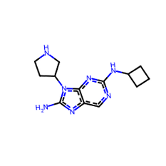 Nc1nc2cnc(NC3CCC3)nc2n1C1CCNC1